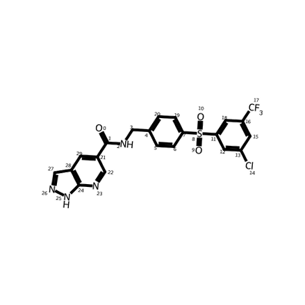 O=C(NCc1ccc(S(=O)(=O)c2cc(Cl)cc(C(F)(F)F)c2)cc1)c1cnc2[nH]ncc2c1